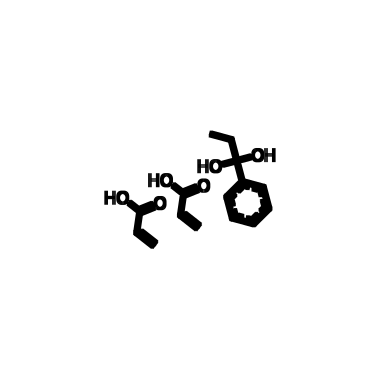 C=CC(=O)O.C=CC(=O)O.CCC(O)(O)c1ccccc1